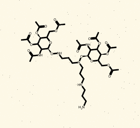 CC(=O)NC1C(OC(C)=O)[C@@H](OC(C)=O)C(COC(C)=O)O[C@H]1ONCCCN(CCCNCCCN)O[C@@H]1OC(COC(C)=O)[C@H](OC(C)=O)C(OC(C)=O)C1NC(C)=O